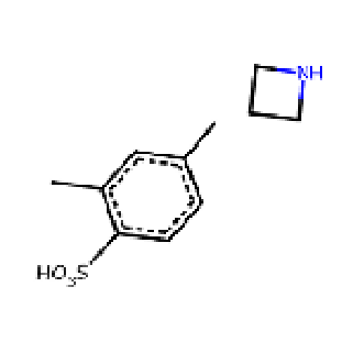 C1CNC1.Cc1ccc(S(=O)(=O)O)c(C)c1